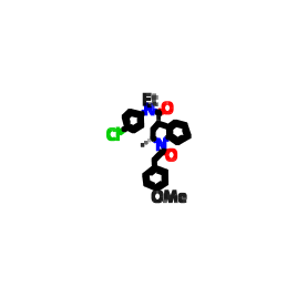 CCN(C(=O)[C@@H]1C[C@@H](C)N(C(=O)Cc2ccc(OC)cc2)c2ccccc21)c1ccc(Cl)cc1